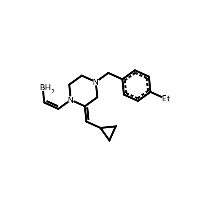 B/C=C\N1CCN(Cc2ccc(CC)cc2)C/C1=C\C1CC1